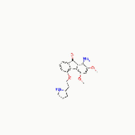 COc1cc(OC)c2c(c1N)C(=O)c1cccc(OCCC3CCCN3)c1-2